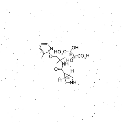 Cc1cccnc1OCC(C)(C)NC(=O)C1[C@H]2CNC[C@@H]12.O=C(O)[C@H](O)[C@@H](O)C(=O)O